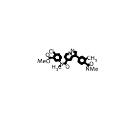 CNC(=O)c1ccc(-c2cnn3ccc(C(=O)N(C)c4ccc(Cl)c(C(=O)OC)c4)cc23)cc1C